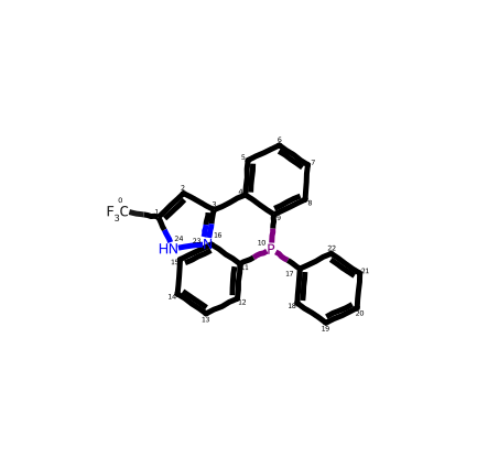 FC(F)(F)c1cc(-c2ccccc2P(c2ccccc2)c2ccccc2)n[nH]1